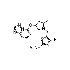 CC(=O)Nc1nc(F)c(CN2CC(Oc3nccc4ncnn34)CC2C)s1